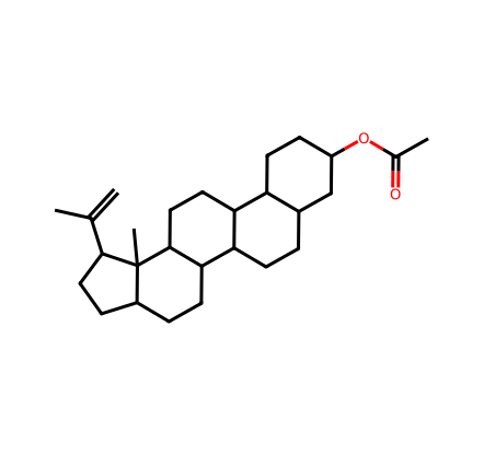 C=C(C)C1CCC2CCC3C4CCC5CC(OC(C)=O)CCC5C4CCC3C21C